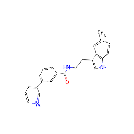 O=C(NCCc1c[nH]c2ccc(C(F)(F)F)cc12)c1cccc(-c2cccnc2)c1